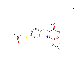 CC(=O)CSc1ccc(CC(NC(=O)OC(C)(C)C)C(=O)O)cc1